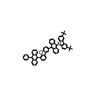 CC(C)(C)c1ccc2c(c1)c1cc(C(C)(C)C)ccc1n2-c1c2ccccc2c(-c2ccc3oc4c(-c5c6ccccc6c(-c6ccccc6)c6ccccc56)cccc4c3c2)c2ccccc12